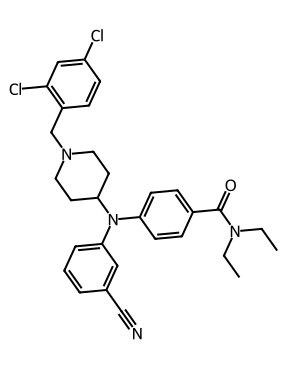 CCN(CC)C(=O)c1ccc(N(c2cccc(C#N)c2)C2CCN(Cc3ccc(Cl)cc3Cl)CC2)cc1